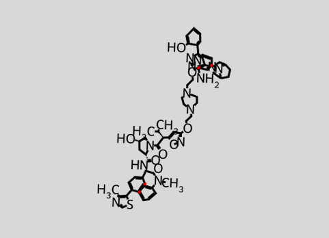 Cc1ncsc1-c1ccc([C@@H](NC(=O)[C@@H]2C[C@@H](O)CN2C(=O)[C@H](c2cc(OCCN3CCN(CCOc4cc(N5C6CCC5CN(c5cc(-c7ccccc7O)nnc5N)C6)ccn4)CC3)no2)C(C)C)C(=O)N(C)c2ccccc2)cc1